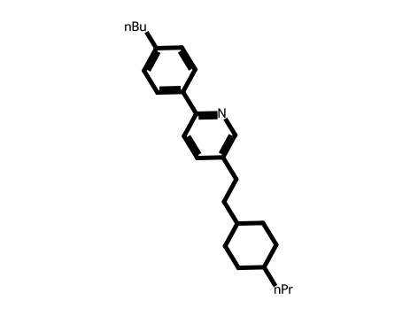 CCCCc1ccc(-c2ccc(CCC3CCC(CCC)CC3)cn2)cc1